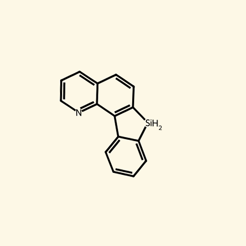 c1ccc2c(c1)[SiH2]c1ccc3cccnc3c1-2